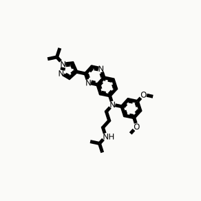 COc1cc(OC)cc(N(CCCNC(C)C)c2ccc3ncc(-c4cnn(C(C)C)c4)nc3c2)c1